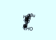 CC(C)(C)OC(=O)N[C@@H]1C(=O)N2C(C(=O)OCCCn3cc(C=O)nn3)C(C)(C)S[C@H]12